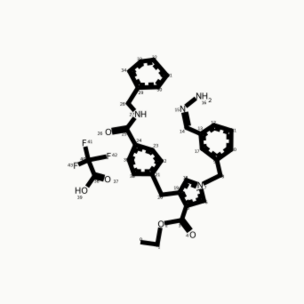 CCOC(=O)c1cn(Cc2cccc(/C=N\N)c2)cc1Cc1ccc(C(=O)NCc2ccccc2)cc1.O=C(O)C(F)(F)F